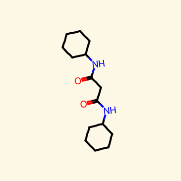 O=C(CC(=O)NC1CCCCC1)NC1CCCCC1